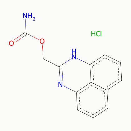 Cl.NC(=O)OCC1=Nc2cccc3cccc(c23)N1